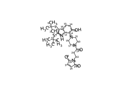 CC(C)(C)Cc1c(SC(C)(C)C)[nH]c2c(N3CCN(C(=O)CCN4C(=O)C=CC4=O)CC3)c(O)ccc12